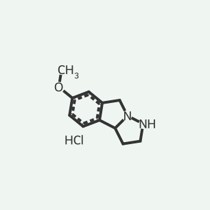 COc1ccc2c(c1)CN1NCCC21.Cl